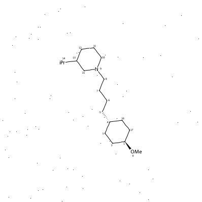 CO[C@H]1CC[C@H](CCCCN2CCCC(C(C)C)C2)CC1